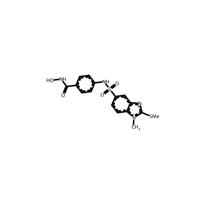 CSc1nc2cc(S(=O)(=O)Nc3ccc(C(=O)NO)cc3)ccc2n1C